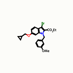 CCOC(=O)c1c(Br)c2ccc(OCC3CC3)cc2n1Cc1cccc(OC)c1